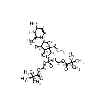 C=C1NC(O)C=CN1[C@@H]1O[C@](CC)(COP(=O)(OCOC(=O)C(C)(C)C)OCOC(=O)C(C)(C)C)[C@@H](O)[C@H]1F